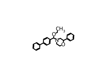 CCOC(c1ccc(-c2ccccc2)cc1)N1CCOC(c2ccccc2)C1